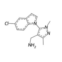 Cc1nn(C)c(-n2ccc3cc(Cl)ccc32)c1CN